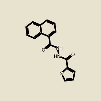 O=C(NNC(=O)c1cccc2ccccc12)c1cccs1